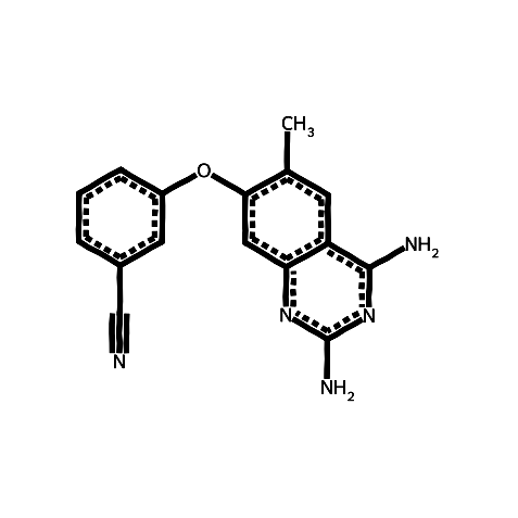 Cc1cc2c(N)nc(N)nc2cc1Oc1cccc(C#N)c1